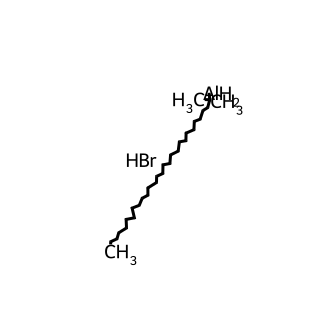 Br.CCCCCCCCCCCCCCCCCCCCCCCCCCC[C](C)(C)[AlH2]